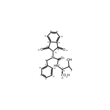 CC(O)[C@H](NC(=O)N(Cc1ccccc1)N1C(=O)c2ccccc2C1=O)C(=O)O